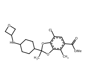 COC(=O)c1cc(Cl)c2c(c1C)OC(C)(C1CCC(NC3COC3)CC1)O2